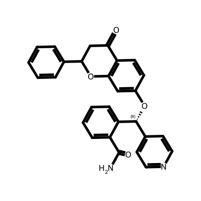 NC(=O)c1ccccc1[C@H](Oc1ccc2c(c1)OC(c1ccccc1)CC2=O)c1ccncc1